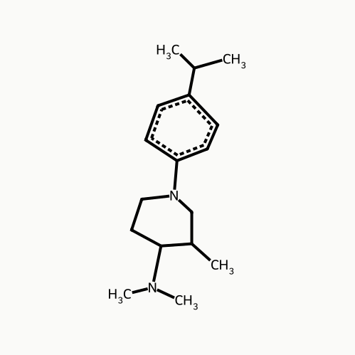 CC(C)c1ccc(N2CCC(N(C)C)C(C)C2)cc1